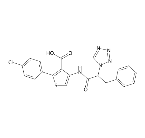 O=C(O)c1c(NC(=O)C(Cc2ccccc2)n2cnnn2)csc1-c1ccc(Cl)cc1